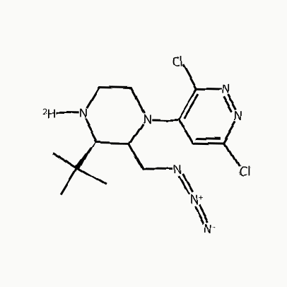 [2H]N1CCN(c2cc(Cl)nnc2Cl)C(CN=[N+]=[N-])[C@H]1C(C)(C)C